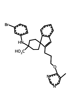 Cc1cncnc1OCCCC1=Cc2ccccc2C12CCC(Nc1cccc(Br)c1)(C(=O)O)CC2